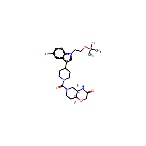 CC(C)(C)[Si](C)(C)OCCn1cc(C2CCN(C(=O)N3CC[C@@H]4OCC(=O)N[C@@H]4C3)CC2)c2cc(Cl)ccc21